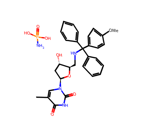 COc1ccc(C(NC[C@H]2O[C@@H](n3cc(C)c(=O)[nH]c3=O)C[C@@H]2O)(c2ccccc2)c2ccccc2)cc1.NP(=O)(O)O